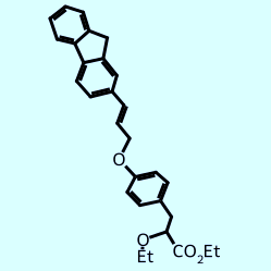 CCOC(=O)C(Cc1ccc(OCC=Cc2ccc3c(c2)Cc2ccccc2-3)cc1)OCC